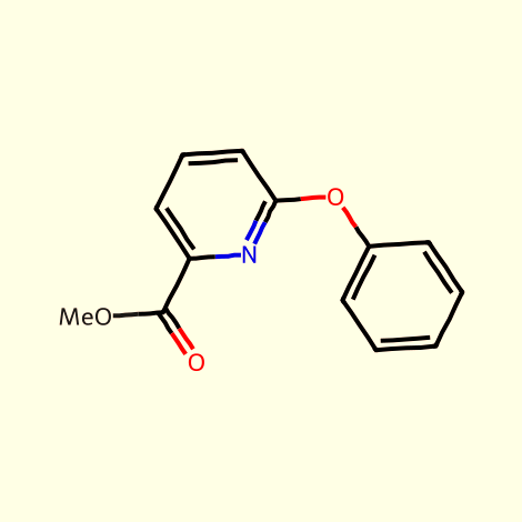 COC(=O)c1cccc(Oc2ccccc2)n1